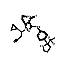 N#CCC(C1CC1)n1nc(Nc2ccc(C3(C(F)(F)F)CCCN3)cc2)c2c(=O)[nH]ccc21